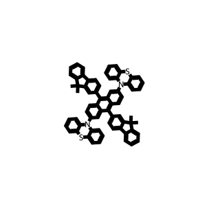 CC1(C)c2ccccc2-c2ccc(-c3c4ccc(N5c6ccccc6Sc6ccccc65)cc4c(-c4ccc5c(c4)C(C)(C)c4ccccc4-5)c4ccc(N5c6ccccc6Sc6ccccc65)cc34)cc21